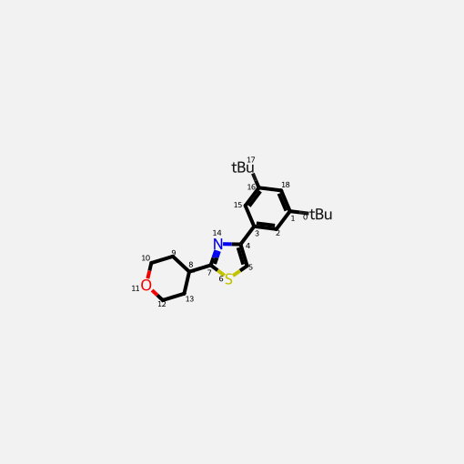 CC(C)(C)c1cc(-c2csc([C]3CCOCC3)n2)cc(C(C)(C)C)c1